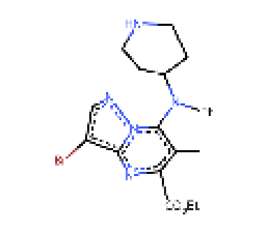 CCOC(=O)c1nc2c(Br)cnn2c(N(CC)C2CCNCC2)c1C